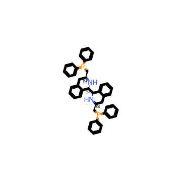 c1ccc(P(C[C@@H]2Cc3ccccc3[C@@H]([C@H]3N[C@H](CP(c4ccccc4)c4ccccc4)Cc4ccccc43)N2)c2ccccc2)cc1